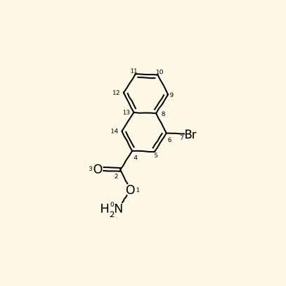 NOC(=O)c1cc(Br)c2ccccc2c1